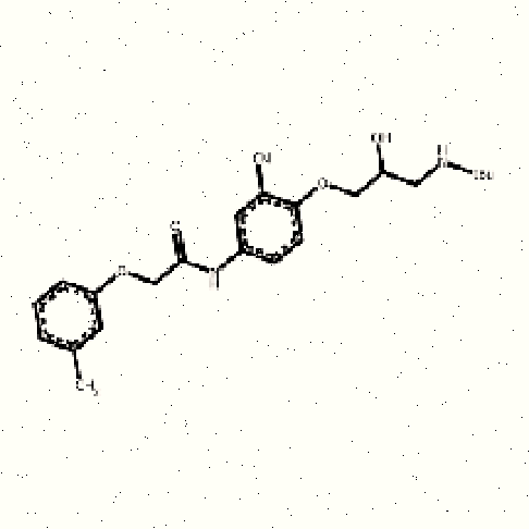 Cc1cccc(OCC(=O)Nc2ccc(OCC(O)CNC(C)(C)C)c(C#N)c2)c1